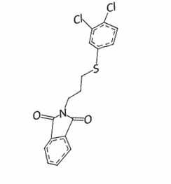 O=C1c2ccccc2C(=O)N1CCCSc1ccc(Cl)c(Cl)c1